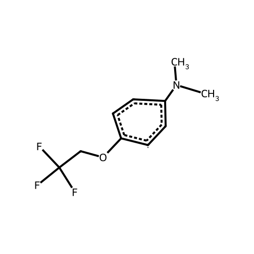 CN(C)c1c[c]c(OCC(F)(F)F)cc1